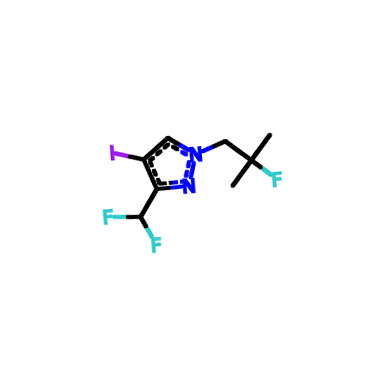 CC(C)(F)Cn1cc(I)c(C(F)F)n1